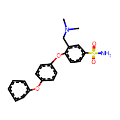 CN(C)Cc1cc(S(N)(=O)=O)ccc1Oc1ccc(Oc2ccccc2)cc1